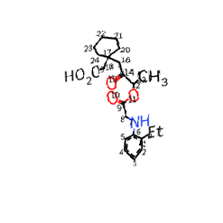 [CH2]Cc1ccccc1NCC(=O)OC(C)C(=O)CC1(CC(=O)O)CCCCC1